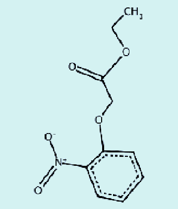 CCOC(=O)COc1ccccc1[N+](=O)[O-]